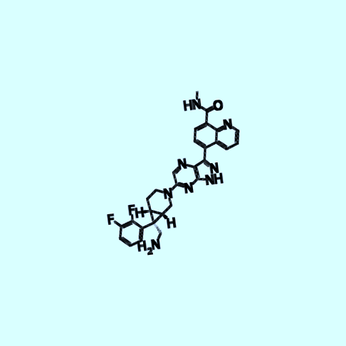 CNC(=O)c1ccc(-c2n[nH]c3nc(N4CC[C@@H]5[C@H](C4)[C@@]5(CN)c4cccc(F)c4F)cnc23)c2cccnc12